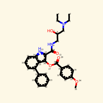 CCN(CC)CC(O)CNC(=O)c1[nH]c2cccc(-c3ccccc3)c2c1OC(=O)c1ccc(OC)cc1